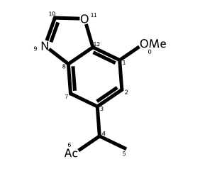 COc1cc(C(C)C(C)=O)cc2ncoc12